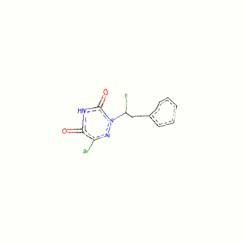 O=c1[nH]c(=O)n(C(F)Cc2ccccc2)nc1Br